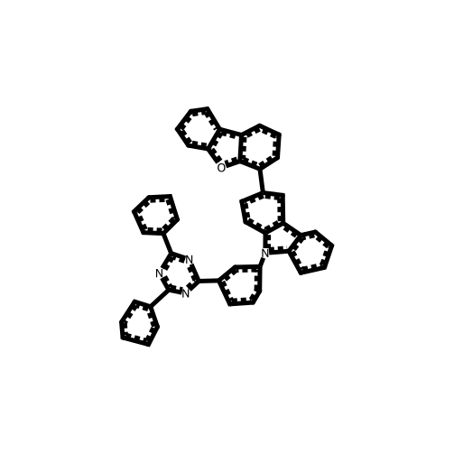 c1ccc(-c2nc(-c3ccccc3)nc(-c3cccc(-n4c5ccccc5c5cc(-c6cccc7c6oc6ccccc67)ccc54)c3)n2)cc1